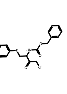 O=C(NC(CSc1ccccc1)C(=O)CCl)OCc1ccccc1